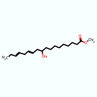 CCC=CCC=CCC(O)CCCCCCCCC(=O)OC